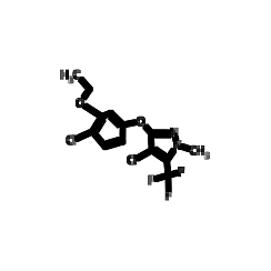 CCOc1cc(Oc2nn(C)c(C(F)(F)F)c2Cl)ccc1Cl